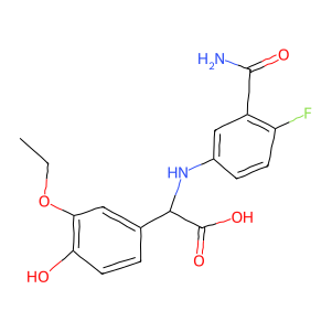 CCOc1cc(C(Nc2ccc(F)c(C(N)=O)c2)C(=O)O)ccc1O